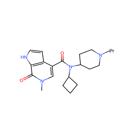 CC(C)N1CCC(N(C(=O)c2cn(C)c(=O)c3[nH]ccc23)C2CCC2)CC1